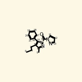 CCCc1c(C)nn(C(=O)n2cccn2)c1-c1ccccc1